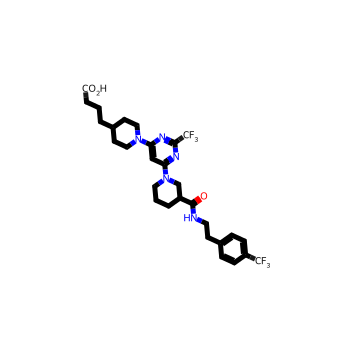 O=C(O)CCCC1CCN(c2cc(N3CCCC(C(=O)NCCc4ccc(C(F)(F)F)cc4)C3)nc(C(F)(F)F)n2)CC1